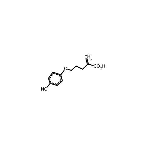 C=C(CCCOc1ccc(C#N)cc1)C(=O)O